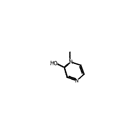 CN1C=CN=CC1O